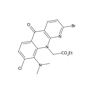 CCOC(=O)Cn1c2nc(Br)ccc2c(=O)c2ccc(Cl)c(N(C)C)c21